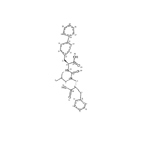 CC(C)CN(C[C@H](Cc1ccccc1)C(=O)O)C(=O)N[C@@H](Cc1ccc(-c2ccccc2)cc1)C(=O)O